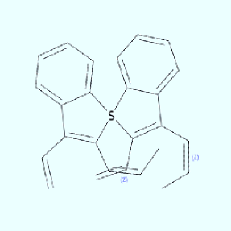 C=CC1=C(/C=C\C)S2(C(C=C)=C(/C=C\C)c3ccccc32)c2ccccc21